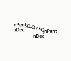 CCCCCCCCCCCCC(CCCCC)OCCOCc1ccc(COC(CCCCC)CCCCCCCCCCCC)cc1